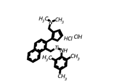 Cc1cc(C)c([NH][Ti][CH2]c2c(C3=C(CN(C)C)C=CC3)ccc3ccccc23)c(C)c1.Cl.Cl